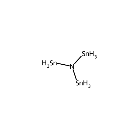 [SnH3][N]([SnH3])[SnH3]